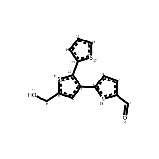 O=Cc1ccc(-c2cc(CO)sc2-c2cccs2)s1